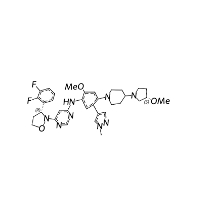 COc1cc(N2CCC(N3CC[C@H](OC)C3)CC2)c(-c2cnn(C)c2)cc1Nc1cc(N2OCC[C@@H]2c2cccc(F)c2F)ncn1